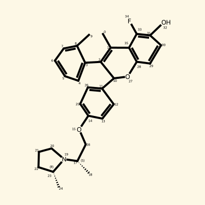 CC1=C(c2ccccc2C)C(c2ccc(OC[C@H](C)N3CCC[C@H]3C)cc2)Oc2ccc(O)c(F)c21